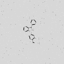 C=C(C)c1cc(C)c(-n2nc(-c3cccc(F)c3)c3ccccc32)cc1C